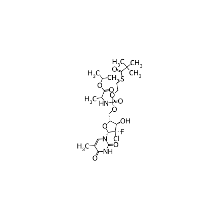 Cc1cn([C@@H]2O[C@H](COP(=O)(NC(C)C(=O)OC(C)C)OCCSC(=O)C(C)(C)C)[C@@H](O)[C@@]2(F)Cl)c(=O)[nH]c1=O